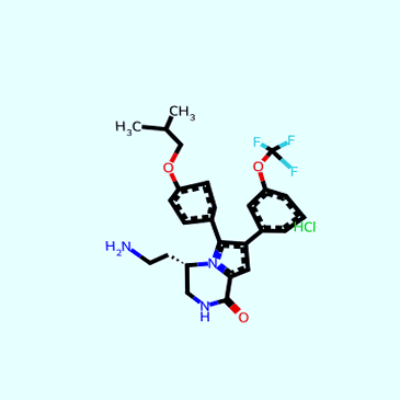 CC(C)COc1ccc(-c2c(-c3cccc(OC(F)(F)F)c3)cc3n2[C@@H](CCN)CNC3=O)cc1.Cl